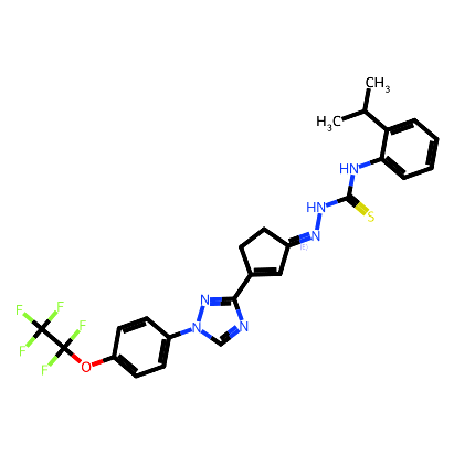 CC(C)c1ccccc1NC(=S)N/N=C1/C=C(c2ncn(-c3ccc(OC(F)(F)C(F)(F)F)cc3)n2)CC1